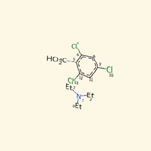 CCN(CC)CC.O=C(O)c1c(Cl)cc(Cl)cc1Cl